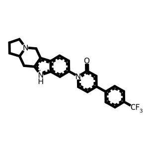 O=c1cc(-c2ccc(C(F)(F)F)cc2)ccn1-c1ccc2c3c([nH]c2c1)CC1CCCN1C3